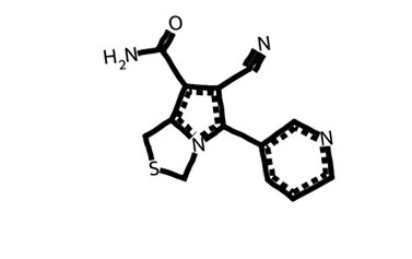 N#Cc1c(C(N)=O)c2n(c1-c1cccnc1)CSC2